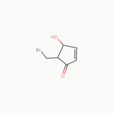 CC(C)CC1C(=O)C=CC1O